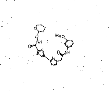 COc1cccc(NC(=O)Cn2ccc(-c3ccc(C(=O)NOC4CCCCO4)s3)n2)c1